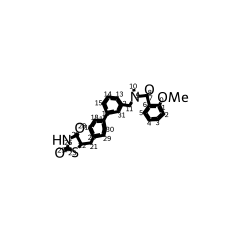 COc1ccccc1C(=O)N(C)Cc1cccc(-c2ccc(CC3SC(=O)NC3=O)cc2)c1